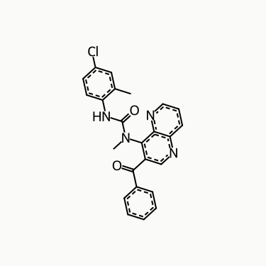 Cc1cc(Cl)ccc1NC(=O)N(C)c1c(C(=O)c2ccccc2)cnc2cccnc12